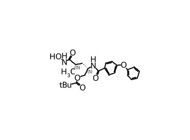 C[C@@H](C[C@@H](COC(=O)C(C)(C)C)NC(=O)c1ccc(Oc2ccccc2)cc1)C(=O)NO